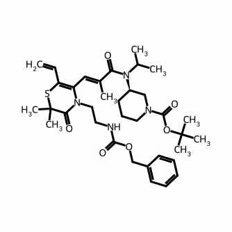 C=CC1=C(/C=C(\C)C(=O)N(C(C)C)[C@@H]2CCCN(C(=O)OC(C)(C)C)C2)N(CCNC(=O)OCc2ccccc2)C(=O)C(C)(C)S1